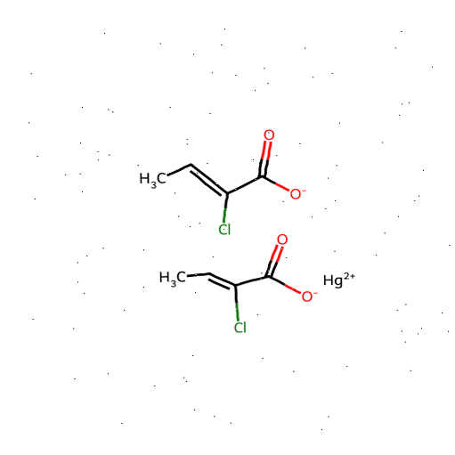 C/C=C(\Cl)C(=O)[O-].C/C=C(\Cl)C(=O)[O-].[Hg+2]